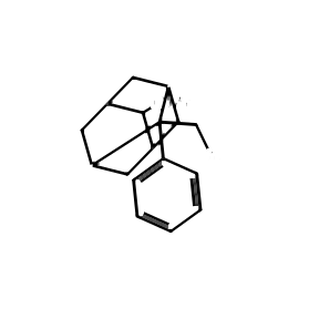 COC1C2CC3CC1CC(C2)C3(CC(C)=O)c1ccccc1